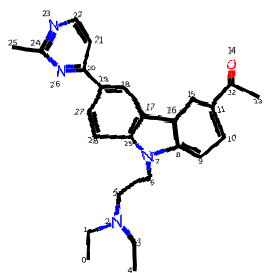 CCN(CC)CCN1C2=CC=C(C(C)=O)CC2c2cc(-c3ccnc(C)n3)ccc21